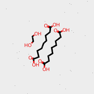 O=C(O)CCCCCCCC(=O)O.O=C(O)CCCCCCCC(=O)O.OCCO